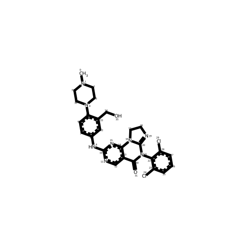 CN1CCN(c2ccc(Nc3ncc4c(n3)N3CCN=C3N(c3c(Cl)cccc3Cl)C4=O)cc2CO)CC1